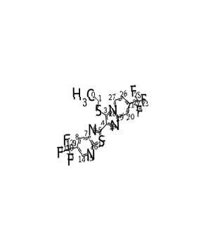 CCSc1c(-c2nc3cc(C(F)(F)F)cnc3s2)nc2cc(C(F)(F)F)ccn12